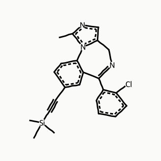 Cc1ncc2n1-c1ccc(C#C[Si](C)(C)C)cc1C(c1ccccc1Cl)=NC2